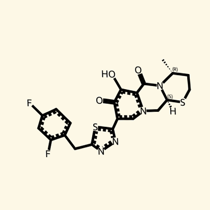 C[C@@H]1CCS[C@H]2Cn3cc(-c4nnc(Cc5ccc(F)cc5F)s4)c(=O)c(O)c3C(=O)N12